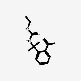 C=C(C)c1ccccc1C(C)(C)NC(=O)OCC